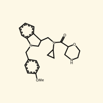 COc1ccc(CN2CC(CN(C(=O)C3CNCCO3)C3CC3)c3ccccc32)cc1